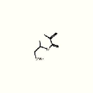 C=C(C)C(=C)OC(C)COC